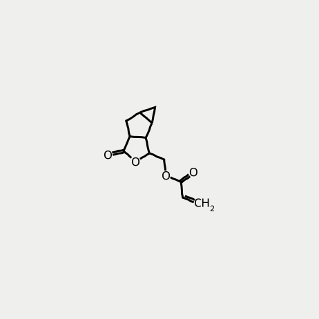 C=CC(=O)OCC1OC(=O)C2CC3CC3C12